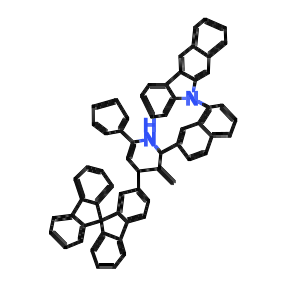 C=C1C(c2ccc3c(c2)C2(c4ccccc4-c4ccccc42)c2ccccc2-3)C=C(c2ccccc2)NC1c1ccc2cccc(-n3c4ccccc4c4cc5ccccc5cc43)c2c1